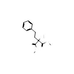 COC(=O)C(Cl)(CCc1ccccc1)C(=O)OC